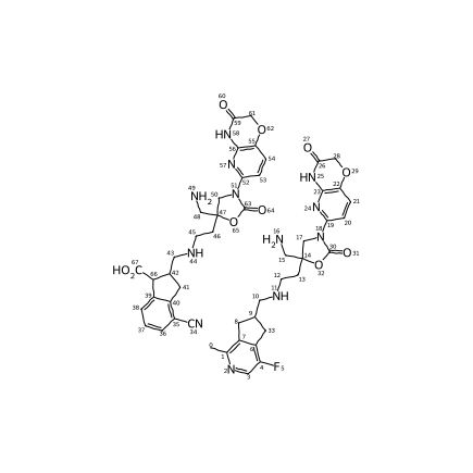 Cc1ncc(F)c2c1CC(CNCCC1(CN)CN(c3ccc4c(n3)NC(=O)CO4)C(=O)O1)C2.N#Cc1cccc2c1CC(CNCCC1(CN)CN(c3ccc4c(n3)NC(=O)CO4)C(=O)O1)C2C(=O)O